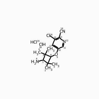 CC1(C)C(N)C(C)(C)C1Oc1cnc(C#N)c(Cl)c1.Cl.Cl